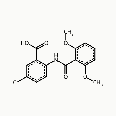 COc1cccc(OC)c1C(=O)Nc1ccc(Cl)cc1C(=O)O